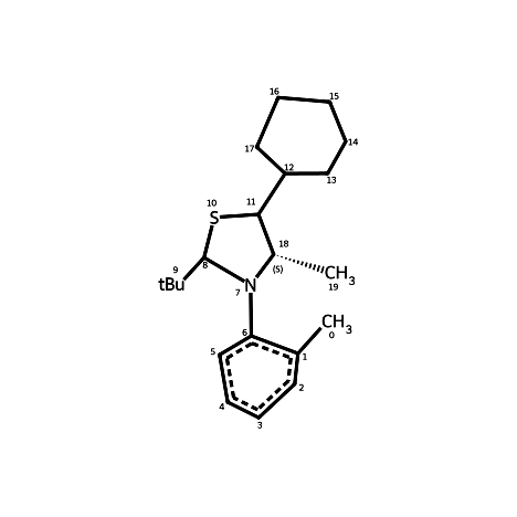 Cc1ccccc1N1C(C(C)(C)C)SC(C2CCCCC2)[C@@H]1C